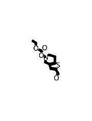 CCOC(=O)ON1CCc2sc(C=O)cc2C1